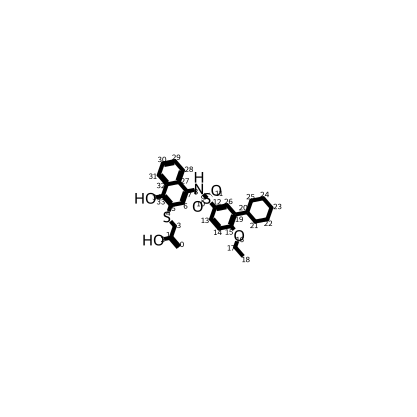 C=C(O)CSc1cc(NS(=O)(=O)c2ccc(OCC)c(C3CCCCC3)c2)c2ccccc2c1O